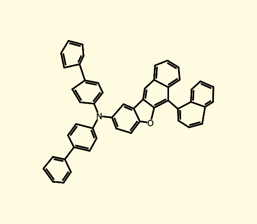 c1ccc(-c2ccc(N(c3ccc(-c4ccccc4)cc3)c3ccc4oc5c(-c6cccc7ccccc67)c6ccccc6cc5c4c3)cc2)cc1